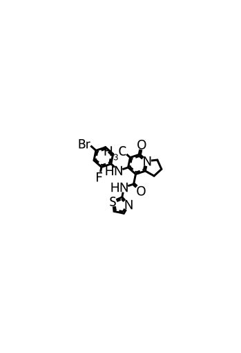 Cc1c(Nc2ccc(Br)cc2F)c(C(=O)Nc2nccs2)c2n(c1=O)CCC2